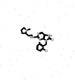 Cc1cccc(Cl)c1Cn1c(=O)[nH]c2cnc(NCCC3CCCN3C)nc21